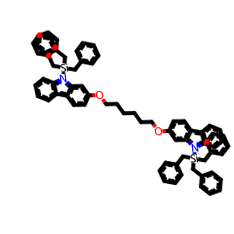 c1ccc(C[Si](Cc2ccccc2)(Cc2ccccc2)n2c3ccccc3c3ccc(OCCCCCCOc4ccc5c6ccccc6n([Si](Cc6ccccc6)(Cc6ccccc6)Cc6ccccc6)c5c4)cc32)cc1